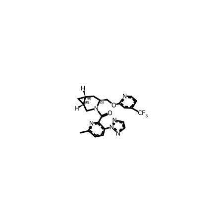 Cc1ccc(-n2nccn2)c(C(=O)N2C[C@@H]3C[C@@H]3C[C@H]2COc2cc(C(F)(F)F)ccn2)n1